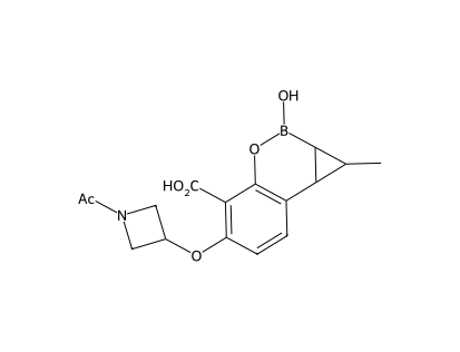 CC(=O)N1CC(Oc2ccc3c(c2C(=O)O)OB(O)C2C(C)C32)C1